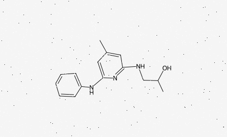 Cc1cc(NCC(C)O)nc(Nc2ccccc2)c1